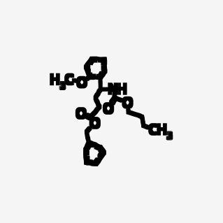 CCCCOC(=O)NC(CCC(=O)OCc1ccccc1)c1ccccc1OC